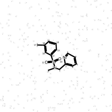 CN(Cc1ccccn1)S(=O)(=O)c1cccc(I)c1